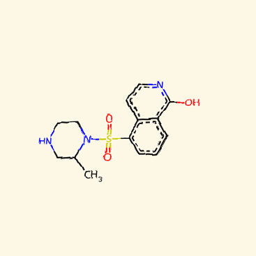 CC1CNCCN1S(=O)(=O)c1cccc2c(O)nccc12